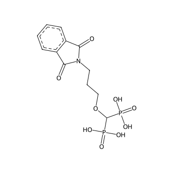 O=C1c2ccccc2C(=O)N1CCCOC(P(=O)(O)O)P(=O)(O)O